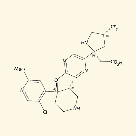 COc1cc([C@@]2(Oc3cnc([C@]4(CC(=O)O)C[C@@H](C(F)(F)F)CN4)cn3)CCNC[C@H]2C)c(Cl)cn1